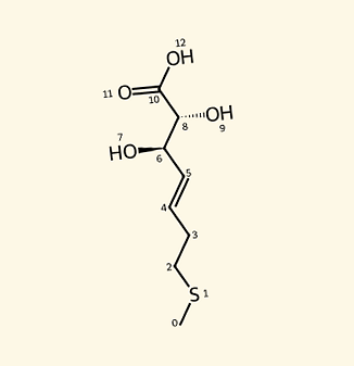 CSCC/C=C/[C@@H](O)[C@@H](O)C(=O)O